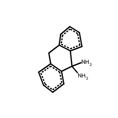 NC1(N)c2ccccc2Cc2ccccc21